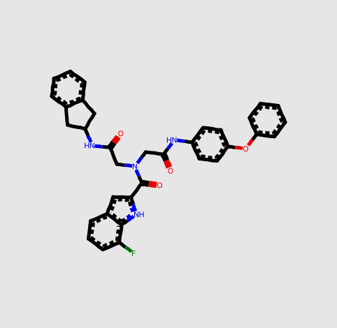 O=C(CN(CC(=O)NC1Cc2ccccc2C1)C(=O)c1cc2cccc(F)c2[nH]1)Nc1ccc(Oc2ccccc2)cc1